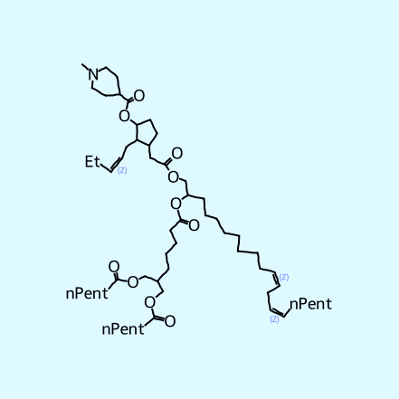 CC/C=C\CC1C(CC(=O)OCC(CCCCCCCC/C=C\C/C=C\CCCCC)OC(=O)CCCCC(COC(=O)CCCCC)COC(=O)CCCCC)CCC1OC(=O)C1CCN(C)CC1